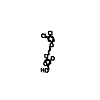 O=c1cc(CO)occ1OCCCCOc1ccc(Cl)c(Cl)c1